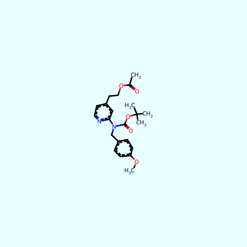 COc1ccc(CN(C(=O)OC(C)(C)C)c2cc(CCOC(C)=O)ccn2)cc1